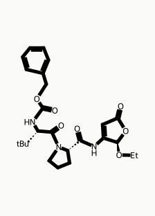 CCO[C@@H]1OC(=O)C=C1NC(=O)[C@@H]1CCCN1C(=O)[C@@H](NC(=O)OCc1ccccc1)C(C)(C)C